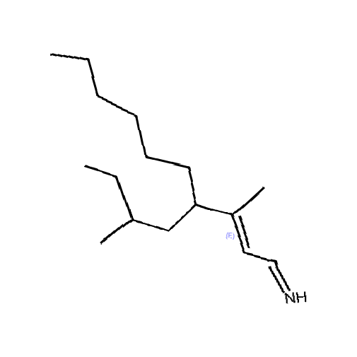 CCCCCCC(CC(C)CC)/C(C)=C/C=N